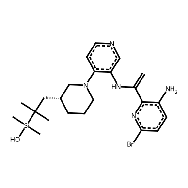 C=C(Nc1cnccc1N1CCC[C@H](CC(C)(C)[Si](C)(C)O)C1)c1nc(Br)ccc1N